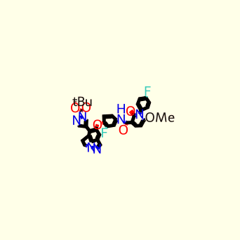 COc1ccc(C(=O)Nc2ccc(Oc3cc4cnn5c4c(c3-c3cnn(C(=O)OC(C)(C)C)c3)CC5)c(F)c2)c(=O)n1-c1ccc(F)cc1